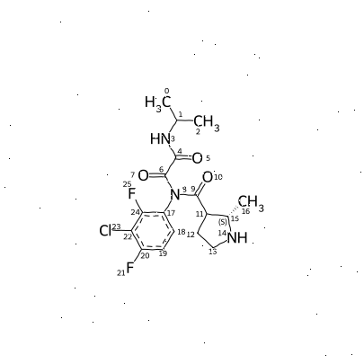 CC(C)NC(=O)C(=O)N(C(=O)C1CCN[C@H]1C)c1ccc(F)c(Cl)c1F